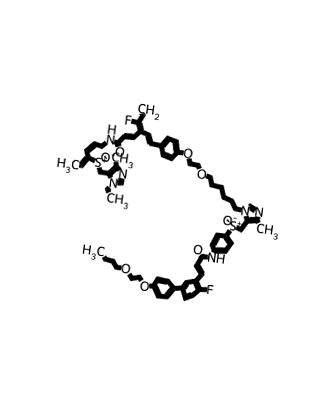 C=C/C(F)=C(/C=C/C(=O)NC/C=C\C(=C/C)[S@@+]([O-])Cc1c(C)ncn1CC)\C=C\c1ccc(OCCOCCCCCCn2cnc(C)c2C[S@@+]([O-])c2ccc(NC(=O)/C=C/c3cc(-c4ccc(OCCOCCCC)cc4)ccc3F)cc2)cc1